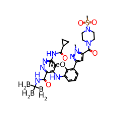 BC(B)(B)NC(=O)c1nnc(NC(=O)C2CC2)cc1Nc1cccc(-c2cc(C(=O)N3CCN(S(C)(=O)=O)CC3)n(C)n2)c1OC